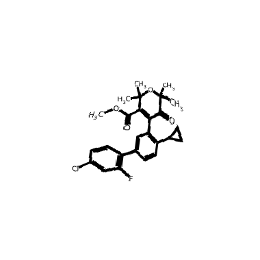 COC(=O)C1=C(c2cc(-c3ccc(Cl)cc3F)ccc2C2CC2)C(=O)C(C)(C)OC1(C)C